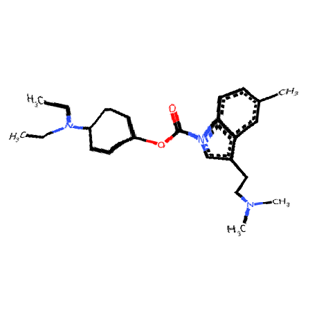 CCN(CC)C1CCC(OC(=O)n2cc(CCN(C)C)c3cc(C)ccc32)CC1